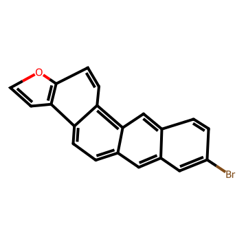 Brc1ccc2cc3c(ccc4c5ccoc5ccc34)cc2c1